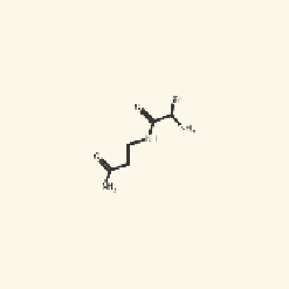 CC(C)C(N)C(=O)NCCC(N)=O